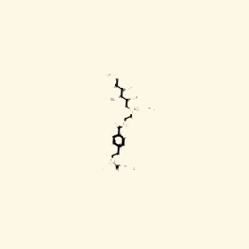 CCCCCCN(CCNC(=O)c1ccc(CCN(C)C(=O)OC(C)(C)C)cc1)CC(O)C(O)C(O)CCO